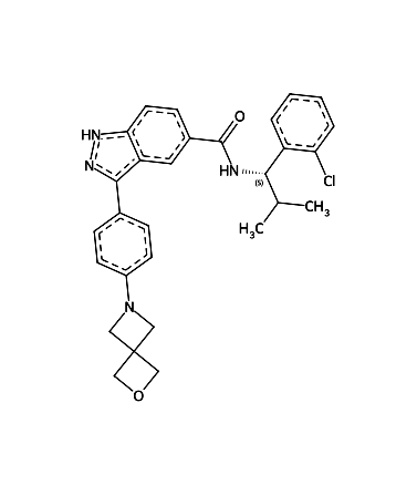 CC(C)[C@H](NC(=O)c1ccc2[nH]nc(-c3ccc(N4CC5(COC5)C4)cc3)c2c1)c1ccccc1Cl